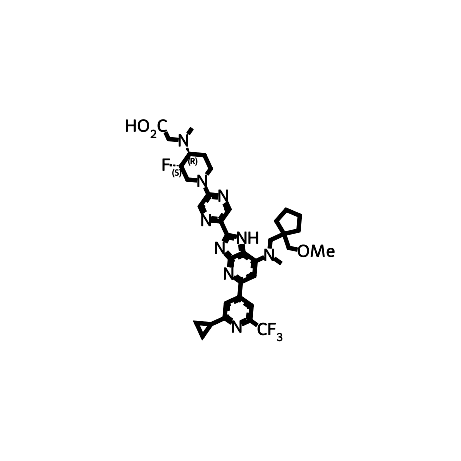 COCC1(CN(C)c2cc(-c3cc(C4CC4)nc(C(F)(F)F)c3)nc3nc(-c4cnc(N5CC[C@@H](N(C)CC(=O)O)[C@@H](F)C5)cn4)[nH]c23)CCCC1